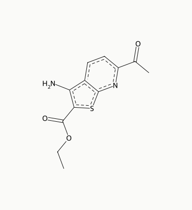 CCOC(=O)c1sc2nc(C(C)=O)ccc2c1N